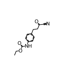 CCOC(=O)Nc1ccc(CCC(=O)C#N)cc1